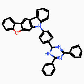 c1ccc(C2=NC(c3ccc(-n4c5ccccc5c5cc6c(cc54)oc4ccccc46)cc3)NC(c3ccccc3)=N2)cc1